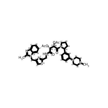 CC(=O)O[C@@H](C(=O)NCc1nc(Cn2c(C)nc3ccccc32)cs1)[C@@H](OC(C)=O)C(=O)N1CCCC1c1cccc(N2CCN(C)CC2)c1